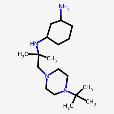 CC(C)(CN1CCN(C(C)(C)C)CC1)NC1CCCC(N)C1